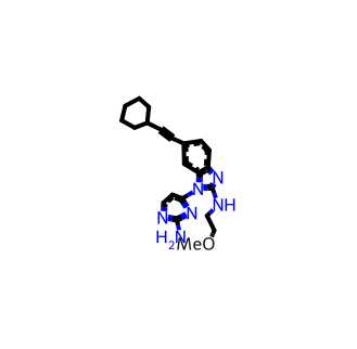 COCCNc1nc2ccc(C#CC3CCCCC3)cc2n1-c1ccnc(N)n1